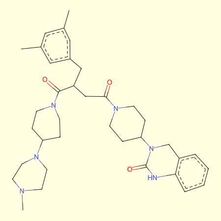 Cc1cc(C)cc(CC(CC(=O)N2CCC(N3Cc4ccccc4NC3=O)CC2)C(=O)N2CCC(N3CCN(C)CC3)CC2)c1